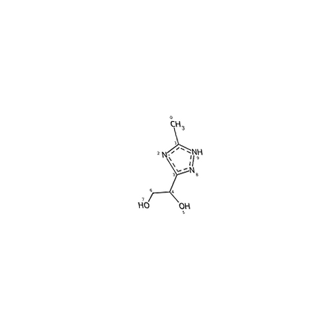 Cc1nc(C(O)CO)n[nH]1